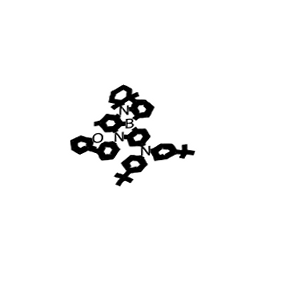 Cc1cc2c3c(c1)N1c4c(cccc4C4(C)CCCCC14C)B3c1ccc(N(c3ccc(C(C)(C)C)cc3)c3ccc(C(C)(C)C)cc3)cc1N2c1cccc2c1oc1ccccc12